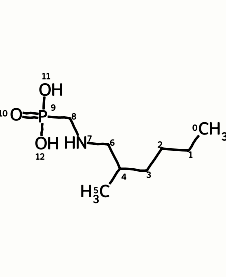 CCCCC(C)CNCP(=O)(O)O